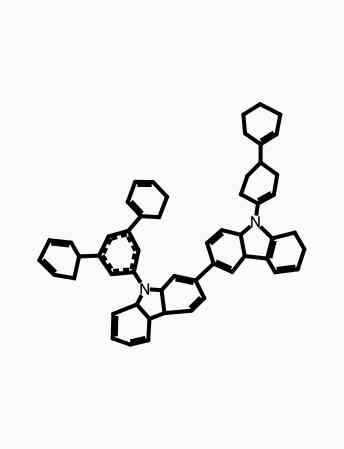 C1=CCCC(c2cc(C3C=CC=CC3)cc(N3C4C=CC=CC4C4C=CC(C5=CC6C7=C(CCC=C7)N(C7=CCC(C8=CCCCC8)CC7)C6C=C5)=CC43)c2)=C1